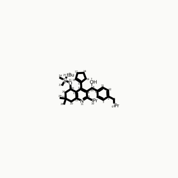 CC(C)Cc1ccc([C@@H](O)c2c(C(C)C)nc3c(c2C2=CCCC2)C(O[Si](C)(C)C(C)(C)C)CC(C)(C)C3)cc1